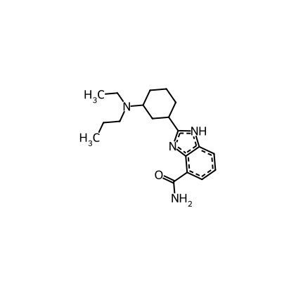 CCCN(CC)C1CCCC(c2nc3c(C(N)=O)cccc3[nH]2)C1